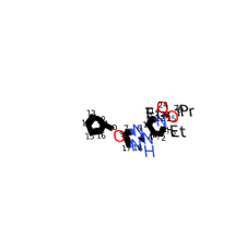 CC[C@@H]1C[C@H](Nc2ncc(OCc3ccccc3)cn2)C[C@H](CC)N1C(=O)OC(C)C